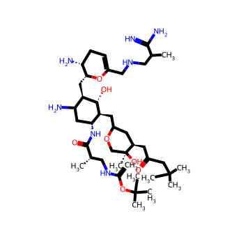 C=C(NC[C@H](C)C(=O)N[C@@H]1CC(N)[C@@H](C[C@H]2OC(CNCC(C)C(=N)N)=CC[C@H]2N)[C@H](O)[C@H]1CC1C[C@@H](CC(=O)CC(C)(C)C)[C@@](C)(O)CO1)OC(C)(C)C